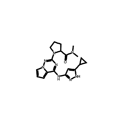 CN(C)C(=O)C1CCCN1c1nc(Nc2cc(C3CC3)[nH]n2)c2cccn2n1